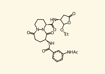 CCOC1OC(=O)C[C@@H]1NC(=O)[C@@H]1CCCN2C(=O)CC[C@H](NC(=O)c3cccc(NC(C)=O)c3)C(=O)N12